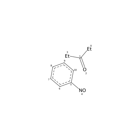 CCC(=O)CC.O=Nc1ccccc1